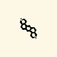 c1cc2c(ccc3cc4c(ccc5cnccc54)cc32)cn1